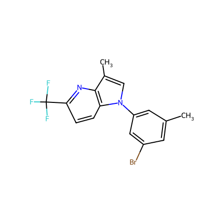 Cc1cc(Br)cc(-n2cc(C)c3nc(C(F)(F)F)ccc32)c1